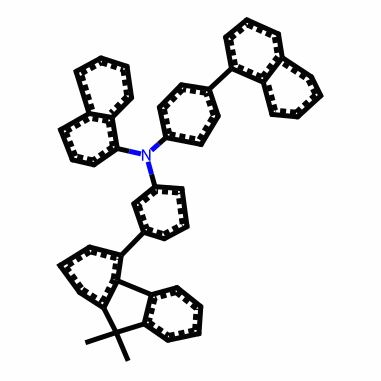 CC1(C)c2ccccc2-c2c(-c3cccc(N(c4ccc(-c5cccc6ccccc56)cc4)c4cccc5ccccc45)c3)cccc21